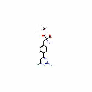 CC(C)(C)OC(=O)C(N)(Cc1ccc(-c2cc(Cl)nc(N)n2)cc1)C(=O)O